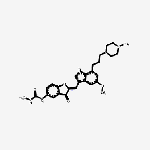 CNC(=O)Nc1ccc2c(c1)C(=O)/C(=C/c1c[nH]c3c(CCCN4CCN(C)CC4)cc(OC)cc13)O2